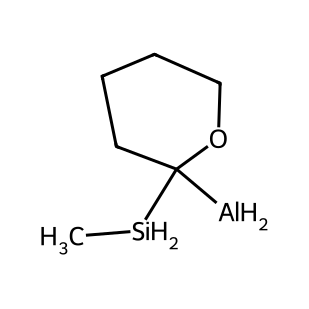 C[SiH2][C]1([AlH2])CCCCO1